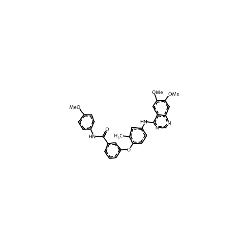 COc1ccc(NC(=O)c2cccc(Oc3ccc(Nc4ncnc5cc(OC)c(OC)cc45)cc3C)c2)cc1